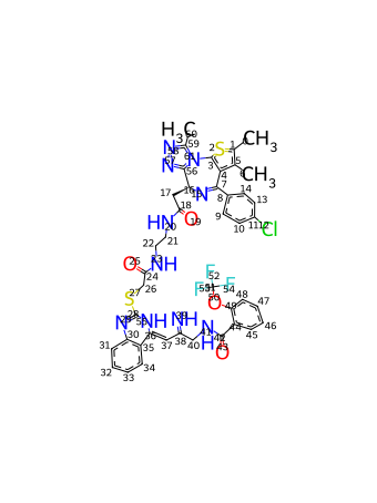 Cc1sc2c(c1C)C(c1ccc(Cl)cc1)=N[C@@H](CC(=O)NCCNC(=O)CSC1=Nc3ccccc3/C(=C/C(=N)CNC(=O)c3ccccc3OC(F)(F)F)N1)c1nnc(C)n1-2